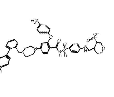 Nc1ccc(Oc2cc(N3CCN(Cc4ccccc4-c4ccc(Cl)cc4)CC3)ccc2C(=O)NS(=O)(=O)c2ccc(NCC3CCOCC3[N+](=O)[O-])cc2)cc1